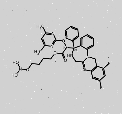 Cc1cc(C)nc(O[C@H](C(=O)OCCCCON(O)O)[C@@]2(c3ccccc3)NCC(=O)N(Cc3c(F)cc(F)cc3F)c3ccccc32)n1